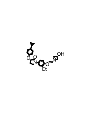 CCc1cc(N2CC[C@H](Oc3ccc(C4CC4)cc3)C2=O)ccc1OCCN1CC(O)C1